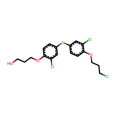 OCCCOc1ccc(Sc2ccc(OCCCCl)c(Cl)c2)cc1Cl